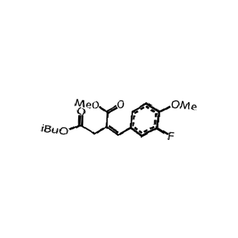 COC(=O)C(=Cc1ccc(OC)c(F)c1)CC(=O)OCC(C)C